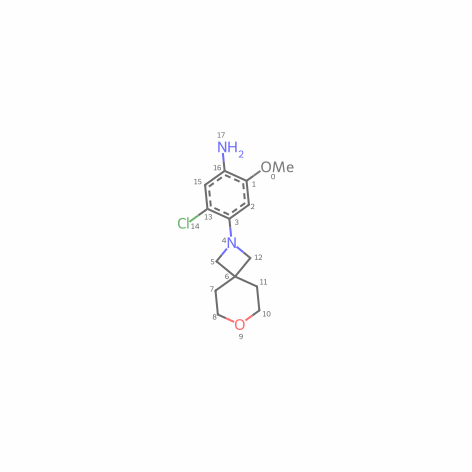 COc1cc(N2CC3(CCOCC3)C2)c(Cl)cc1N